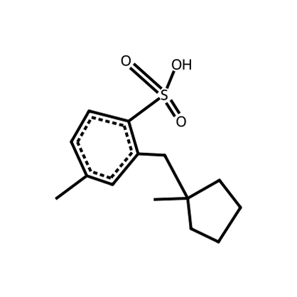 Cc1ccc(S(=O)(=O)O)c(CC2(C)CCCC2)c1